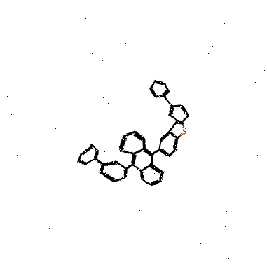 c1ccc(-c2cccc(-c3c4ccccc4c(-c4ccc5sc6ccc(-c7ccccc7)cc6c5c4)c4ccccc34)c2)cc1